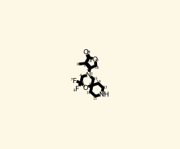 CC1=C(N2CC(F)(F)OC3(CCNCC3)C2)COC1=O